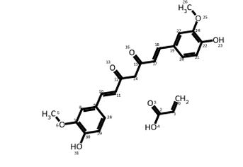 C=CC(=O)O.COc1cc(C=CC(=O)CC(=O)C=Cc2ccc(O)c(OC)c2)ccc1O